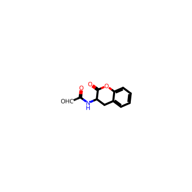 O=CC(=O)NC1Cc2ccccc2OC1=O